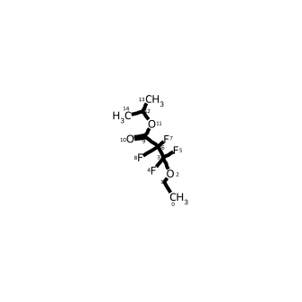 CCOC(F)(F)C(F)(F)C(=O)OC(C)C